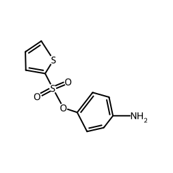 Nc1ccc(OS(=O)(=O)c2cccs2)cc1